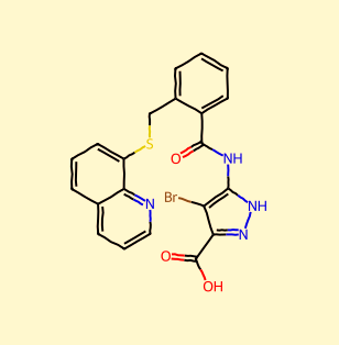 O=C(Nc1[nH]nc(C(=O)O)c1Br)c1ccccc1CSc1cccc2cccnc12